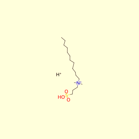 CCCCCCCCCCCC[N+](C)(C)CCCS(=O)(=O)O.[H+]